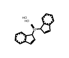 Cl.Cl.[CH2]=[Hf]([CH]1C=Cc2ccccc21)[CH]1C=Cc2ccccc21